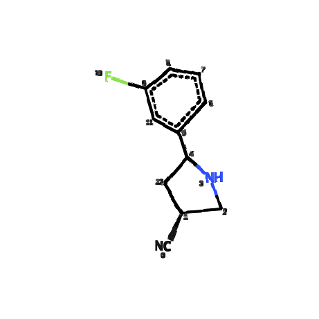 N#C[C@@H]1CNC(c2cccc(F)c2)C1